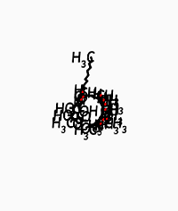 CCCCCCCCCCCO/N=C/c1c2c(O)c3c(O)c(C)c4c(c3c1O)C(=O)[C@@](C)(O/C=C/[C@H](OC)[C@@H](C)[C@@H](OC(C)=O)[C@H](C)[C@H](O)[C@H](C)[C@@H](O)[C@@H](C)/C=C/C=C(/C)C(=O)N2)O4